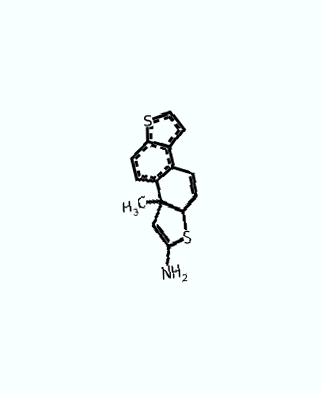 CC12C=C(N)SC1C=Cc1c2ccc2sccc12